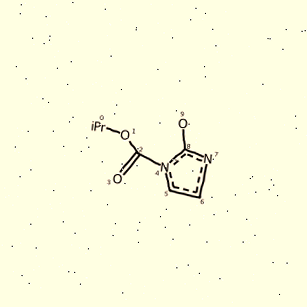 CC(C)OC(=O)n1ccnc1[O]